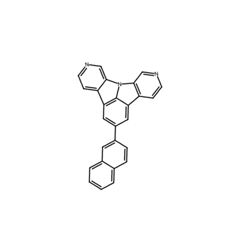 c1ccc2cc(-c3cc4c5ccncc5n5c6cnccc6c(c3)c45)ccc2c1